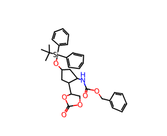 CC(C)(C)[Si](OC1CC(NC(=O)OCc2ccccc2)C(C2COC(=O)O2)C1)(c1ccccc1)c1ccccc1